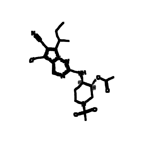 CCC(C)c1c(C#N)c(Cl)c2cnc(N[C@@H]3CCN(S(C)(=O)=O)C[C@H]3OC(C)=O)nn12